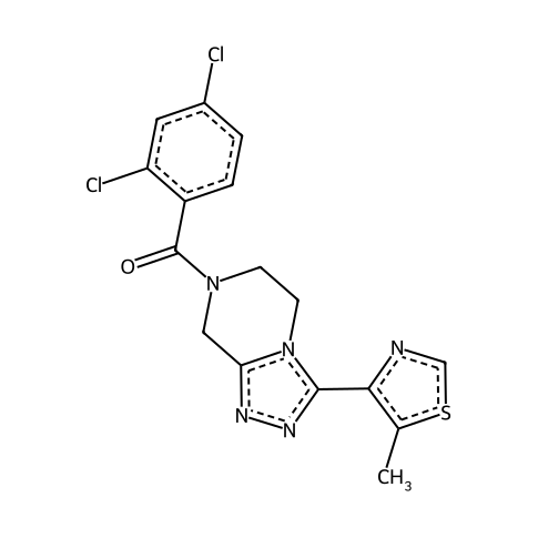 Cc1scnc1-c1nnc2n1CCN(C(=O)c1ccc(Cl)cc1Cl)C2